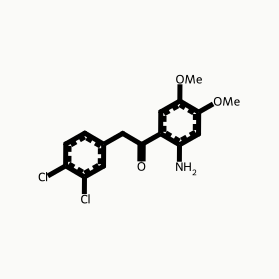 COc1cc(N)c(C(=O)Cc2ccc(Cl)c(Cl)c2)cc1OC